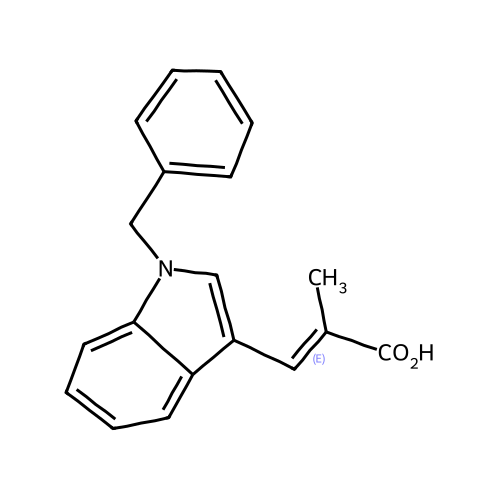 C/C(=C\c1cn(Cc2ccccc2)c2ccccc12)C(=O)O